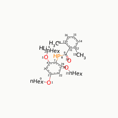 CCCCCCOc1cc(OCCCCCC)c(PC(=O)c2c(C)cccc2C)c(OCCCCCC)c1.[LiH]